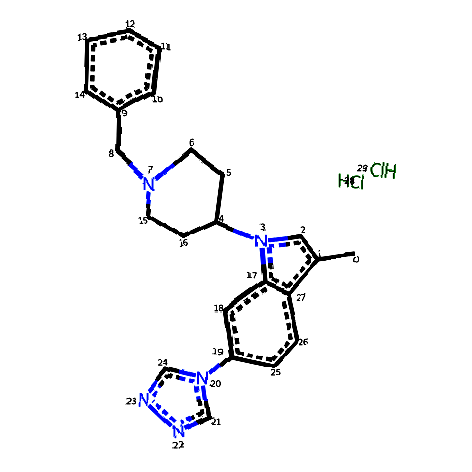 Cc1cn(C2CCN(Cc3ccccc3)CC2)c2cc(-n3cnnc3)ccc12.Cl.Cl